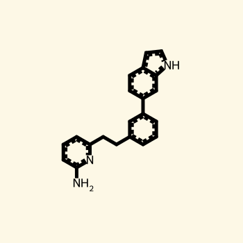 Nc1cccc(CCc2cccc(-c3ccc4cc[nH]c4c3)c2)n1